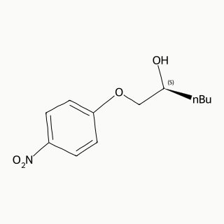 CCCC[C@H](O)COc1ccc([N+](=O)[O-])cc1